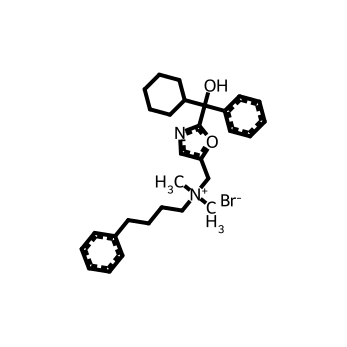 C[N+](C)(CCCCc1ccccc1)Cc1cnc(C(O)(c2ccccc2)C2CCCCC2)o1.[Br-]